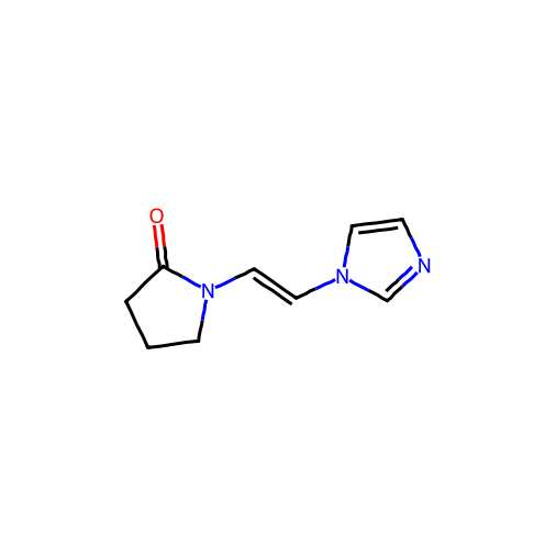 O=C1CCCN1C=Cn1ccnc1